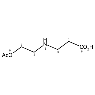 CC(=O)OCCNCCC(=O)O